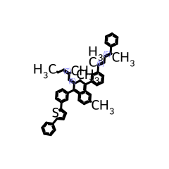 CC/C=C(C)\C=C1\C(c2cccc(-c3ccc(-c4ccccc4)s3)c2)=c2ccc(C)cc2=C(c2cccc(/C(C)=C/C=C(\C)c3ccccc3)c2)C1C